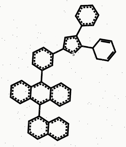 C1=CCC(c2sc(-c3cccc(-c4c5ccccc5c(-c5cccc6ccccc56)c5ccccc45)c3)cc2-c2ccccc2)C=C1